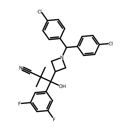 CC(C)(C#N)C(O)(c1cc(F)cc(F)c1)C1CN(C(c2ccc(Cl)cc2)c2ccc(Cl)cc2)C1